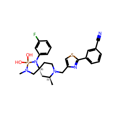 C[C@H]1C[C@]2(CCN1Cc1csc(-c3cccc(C#N)c3)n1)CN(C)S(O)(O)N2c1cccc(F)c1